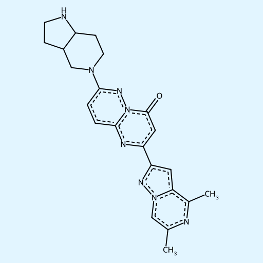 Cc1cn2nc(-c3cc(=O)n4nc(N5CCC6NCCC6C5)ccc4n3)cc2c(C)n1